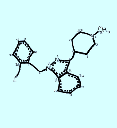 CN1CCC(c2nn(Cc3ccccc3F)c3ccccc23)CC1